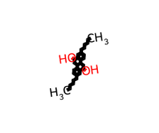 CCCCCCc1ccc2c(c1)C(O)CC1c3ccc(CCCCCC)cc3C(O)CC21